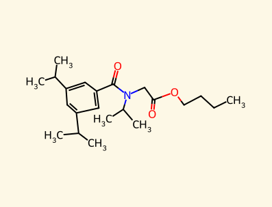 CCCCOC(=O)CN(C(=O)c1cc(C(C)C)cc(C(C)C)c1)C(C)C